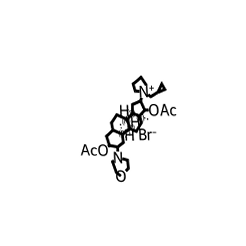 CC(=O)OC1CC2CC[C@@H]3[C@@H](CC[C@]4(C)C(OC(C)=O)C([N+]5(CC6CC6)CCCC5)C[C@@H]34)[C@@]2(C)CC1N1CCOCC1.[Br-]